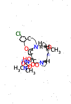 CO[C@H]1/C=C/C[C@@H]2CCCN2C(=O)C[C@@](O)(C(=O)NS(=O)(=O)N(C)C)c2ccc3c(c2)N(CCCCc2cc(Cl)ccc2CO3)C[C@@H]2CC[C@H]21